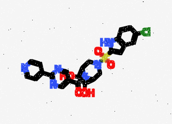 O=C(c1cnc(-c2ccncc2)nc1)N1C2CN(S(=O)(=O)c3cc4cc(Cl)ccc4[nH]3)CC1C(O)C2O